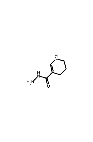 NNC(=O)C1=CNCCC1